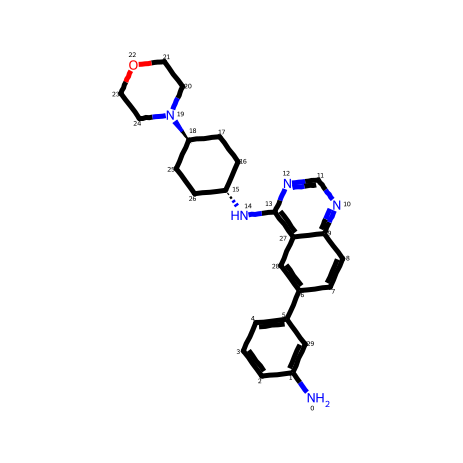 Nc1cccc(-c2ccc3ncnc(N[C@H]4CC[C@H](N5CCOCC5)CC4)c3c2)c1